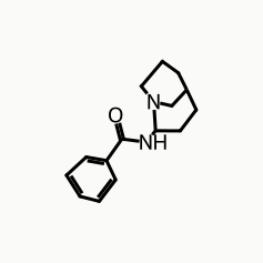 O=C(NC1CCC2CCCN1C2)c1ccccc1